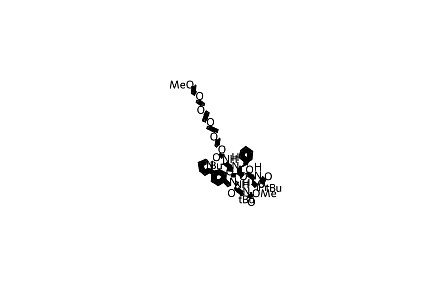 COCCOCCOCCOCCOCCOC(=O)N[C@H](C(=O)N[C@@H](Cc1ccccc1)[C@H](CN(Cc1ccc(-c2ccccn2)cc1)NC(=O)[C@@H](NC(=O)OC)C(C)(C)C)OC(=O)[C@H](CC(C)C)NC(=O)OC(C)(C)C)C(C)(C)C